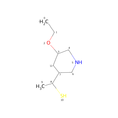 [CH2]COC1CNCC(C(C)S)C1